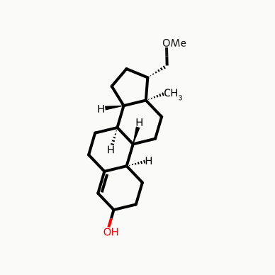 COC[C@H]1CC[C@H]2[C@@H]3CCC4=CC(O)CC[C@@H]4[C@H]3CC[C@]12C